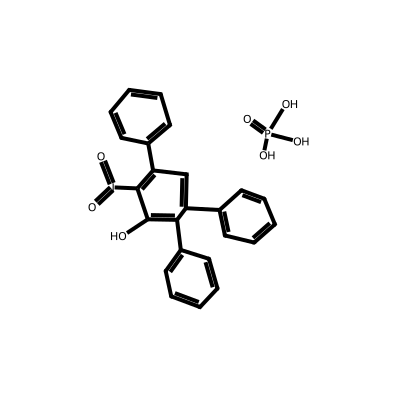 O=I(=O)c1c(-c2ccccc2)cc(-c2ccccc2)c(-c2ccccc2)c1O.O=P(O)(O)O